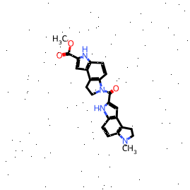 COC(=O)c1cc2c3c(ccc2[nH]1)N(C(=O)c1cc2c4c(ccc2[nH]1)N(C)CC4)CC3